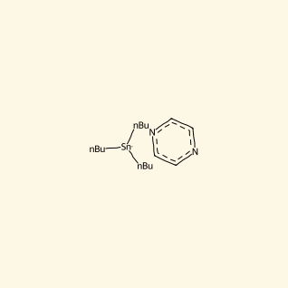 CCC[CH2][Sn]([CH2]CCC)[CH2]CCC.c1cnccn1